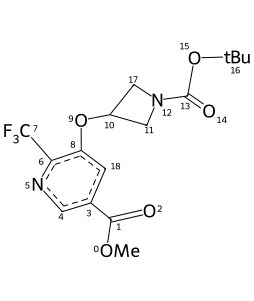 COC(=O)c1cnc(C(F)(F)F)c(OC2CN(C(=O)OC(C)(C)C)C2)c1